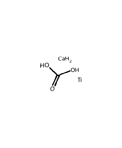 O=C(O)O.[CaH2].[Ti]